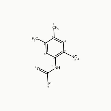 CC(C)C(=O)Nc1cc(C(F)(F)F)c(C(F)(F)F)cc1[N+](=O)[O-]